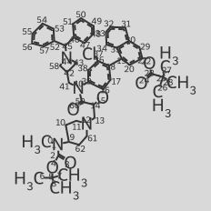 CN(C(=O)OC(C)(C)C)C1CCN(CC2Oc3cc(-c4cc(OC(=O)C(C)(C)C)cc5ccccc45)c(Cl)cc3N(CC3CN(C(c4ccccc4)c4ccccc4)C3)C2=O)CC1